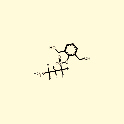 O=S(=O)(O)C(F)(F)C(F)(F)C(F)(F)S(=O)(=O)Oc1c(CO)cccc1CO